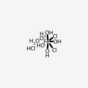 Cl.O.O.[OH][Fe]([OH])([OH])([OH])([Cl])[Cl]